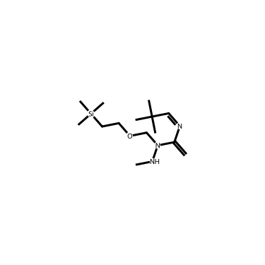 C=C(/N=C\C(C)(C)C)N(COCC[Si](C)(C)C)NC